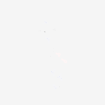 CCN1C[C@@H]2CN(c3ccc4cc(-c5cn6cc(C)nc(C)c6n5)c(=O)oc4c3)C[C@@H]2C1